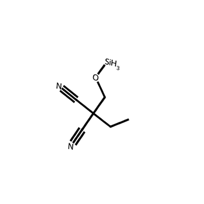 CCC(C#N)(C#N)CO[SiH3]